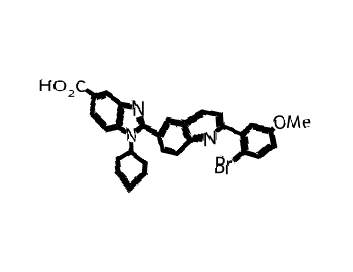 COc1ccc(Br)c(-c2ccc3cc(-c4nc5cc(C(=O)O)ccc5n4C4CCCCC4)ccc3n2)c1